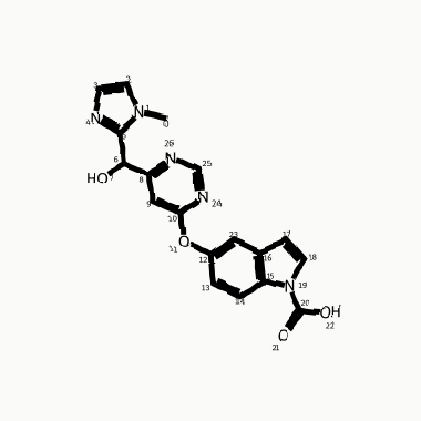 Cn1ccnc1C(O)c1cc(Oc2ccc3c(ccn3C(=O)O)c2)ncn1